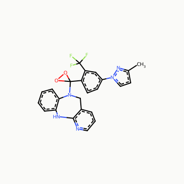 Cc1ccn(-c2ccc(C3(N4Cc5cccnc5Nc5ccccc54)OO3)c(C(F)(F)F)c2)n1